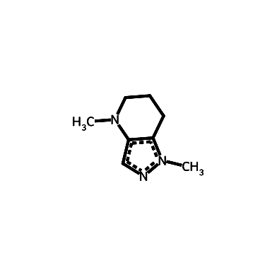 CN1CCCc2c1cnn2C